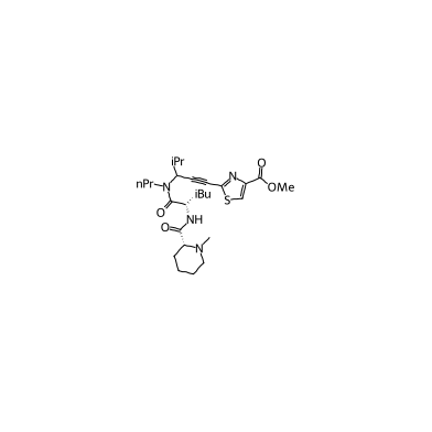 CCCN(C(=O)[C@@H](NC(=O)[C@H]1CCCCN1C)[C@@H](C)CC)C(C#Cc1nc(C(=O)OC)cs1)C(C)C